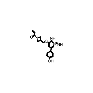 C=CC(=O)N1CC(COc2cc(-c3ccc(O)cc3)cn(C=N)c2=N)C1